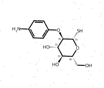 Nc1ccc(O[C@@H]2[C@@H](O)[C@H](O)[C@@H](CO)O[C@H]2S)cc1